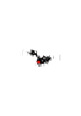 CC(C)Cc1cn(CCC[C@H]2CC(=O)[C@@]3(C)CC[C@@H]4c5ccc(O)cc5CC[C@H]4[C@H]23)nn1